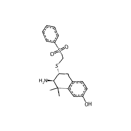 CC1(C)c2cc(O)ccc2C[C@@H](SCS(=O)(=O)c2ccccc2)[C@@H]1N